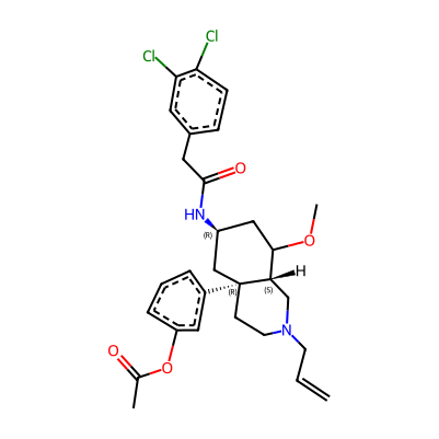 C=CCN1CC[C@@]2(c3cccc(OC(C)=O)c3)C[C@@H](NC(=O)Cc3ccc(Cl)c(Cl)c3)CC(OC)[C@@H]2C1